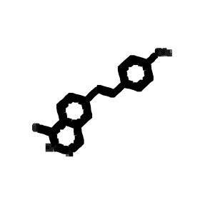 CC(=O)Oc1ccc(C=Cc2ccc3c(=O)[nH]ncc3c2)cc1